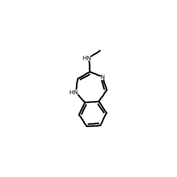 CNC1=CNc2ccccc2C=N1